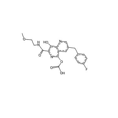 COCCNC(=O)c1nc(OC(=O)O)c2cc(Cc3ccc(F)cc3)cnc2c1O